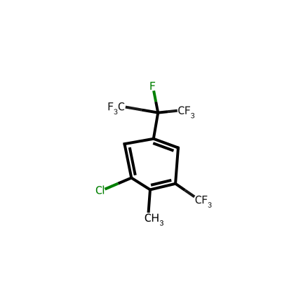 Cc1c(Cl)cc(C(F)(C(F)(F)F)C(F)(F)F)cc1C(F)(F)F